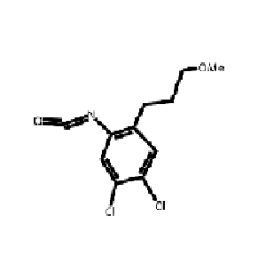 COCCCc1cc(Cl)c(Cl)cc1N=C=O